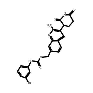 Cc1nc2cc(COC(=O)Nc3cccc(C(C)(C)C)c3)ccc2cc1C1CCC(=O)NC1=O